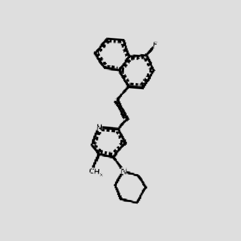 Cc1cnc(/C=C/c2ccc(F)c3ccccc23)cc1N1CCCCC1